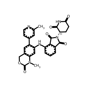 Cc1cc(-c2cc3c(cc2Nc2cccc4c2C(=O)N([C@H]2CCC(=O)NC2=O)C4=O)N(C)C(=O)OC3)ccn1